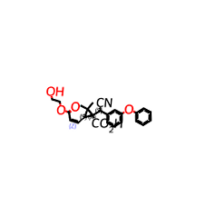 CC1(C)[C@H](/C=C\C(=O)OCCO)[C@@]1(C(=O)O)[C@@H](C#N)c1cccc(Oc2ccccc2)c1